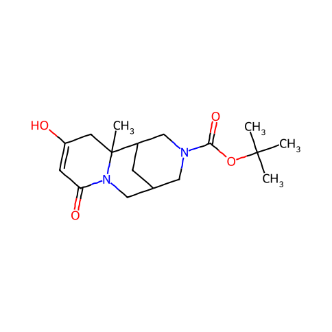 CC(C)(C)OC(=O)N1CC2CC(C1)C1(C)CC(O)=CC(=O)N1C2